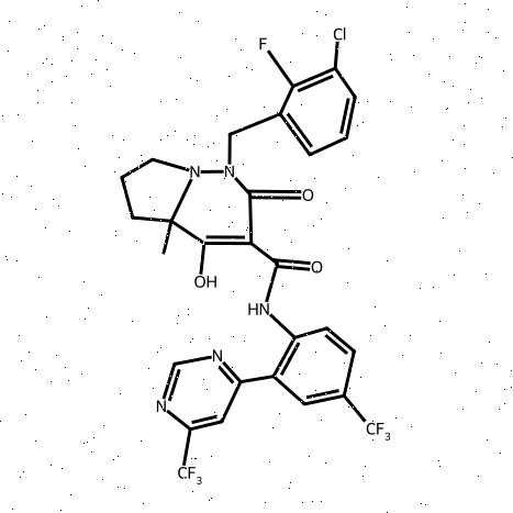 CC12CCCN1N(Cc1cccc(Cl)c1F)C(=O)C(C(=O)Nc1ccc(C(F)(F)F)cc1-c1cc(C(F)(F)F)ncn1)=C2O